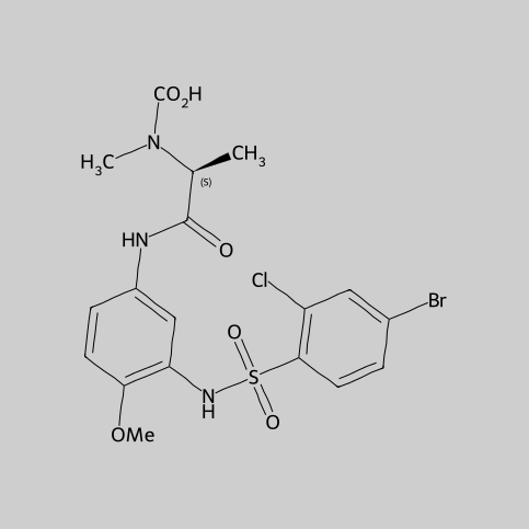 COc1ccc(NC(=O)[C@H](C)N(C)C(=O)O)cc1NS(=O)(=O)c1ccc(Br)cc1Cl